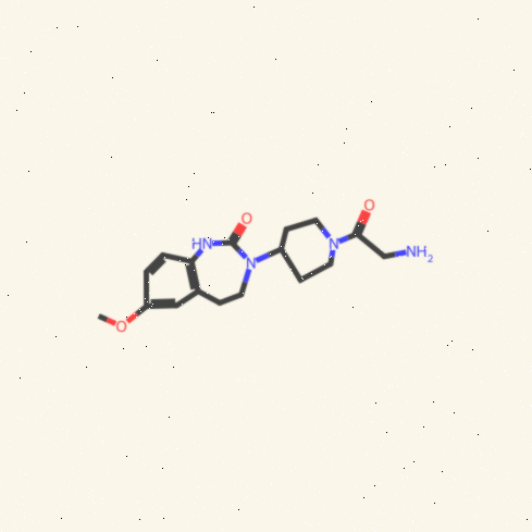 COc1ccc2c(c1)CCN(C1CCN(C(=O)CN)CC1)C(=O)N2